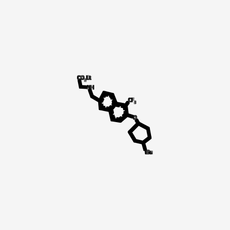 CCOC(=O)CNCc1ccc2c(C(F)(F)F)c(OC3CCC(C(C)(C)C)CC3)ccc2c1